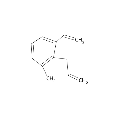 C=CCc1c(C)cccc1C=C